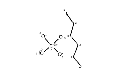 CCCCCI.[O-][Cl+3]([O-])([O-])O